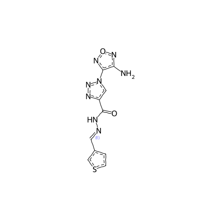 Nc1nonc1-n1cc(C(=O)N/N=C/c2ccsc2)nn1